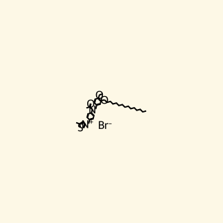 CCCCCCCCCCCCCCOc1cc(CN(C(C)=O)c2ccc(C[n+]3csc(C)c3)cc2)ccc1OC.[Br-]